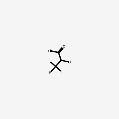 O=C(Cl)C(Cl)C(F)(F)F